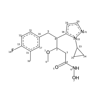 COC(CC(=O)NO)C(Cc1ccc(F)c(C)c1)c1ccnn1C1CC1